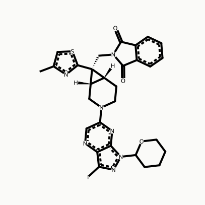 Cc1csc([C@@]2(CN3C(=O)c4ccccc4C3=O)[C@@H]3CCN(c4cnc5c(I)nn(C6CCCCO6)c5n4)C[C@@H]32)n1